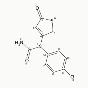 NC(=O)N(C1=CC(=O)SC1)c1ccc(Cl)cc1